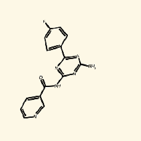 Nc1nc(NC(=O)c2cccnc2)nc(-c2ccc(F)cc2)n1